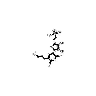 C=P(C)(C)CC[C@H]1O[C@@H](C2C=C(CCCC)C(=O)NC2=O)[C@H](O)[C@@H]1O